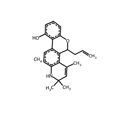 C.C=CCC1Oc2cccc(O)c2-c2ccc3c(c21)C(C)=CC(C)(C)N3